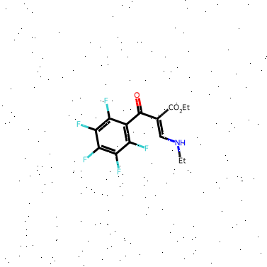 CCNC=C(C(=O)OCC)C(=O)c1c(F)c(F)c(F)c(F)c1F